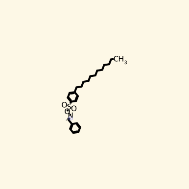 CCCCCCCCCCCCc1ccc(S(=O)(=O)O/N=[C]/c2ccccc2)cc1